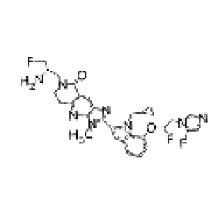 Cn1c(-c2cc3cccc(OC(F)Cn4cncc4F)c3n2CC2CC2)nc2cc3c(nc21)CCN(C[C@H](N)CF)C3=O